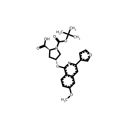 COc1ccc2c(O[C@@H]3C[C@@H](C(=O)O)N(C(=O)OC(C)(C)C)C3)nc(-c3ccoc3)cc2c1